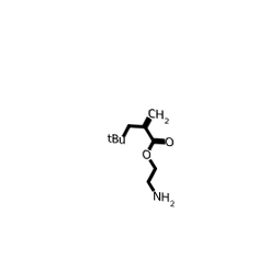 C=C(CC(C)(C)C)C(=O)OCCN